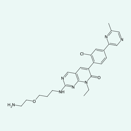 CCn1c(=O)c(-c2ccc(-c3cncc(C)n3)cc2Cl)cc2cnc(NCCCOCCN)nc21